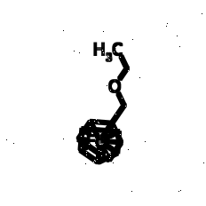 CCOC[C]12[CH]3[CH]4[CH]5[CH]1[Fe]45321678[CH]2[CH]1[CH]6[CH]7[CH]28